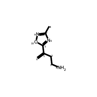 C=C(CCN)c1nc(C)no1